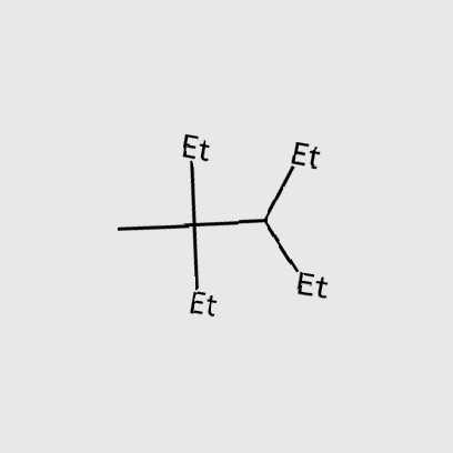 CCC(CC)C(C)(CC)CC